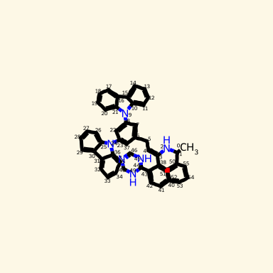 CC(N/C(=C\Cc1cc(-n2c3ccccc3c3ccccc32)cc(-n2c3ccccc3c3ccccc32)c1)c1ccccc1C1NC=NCN1)c1ccccc1